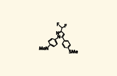 CNc1ccc(-n2nc(C(F)F)cc2-c2ccc(SC)cc2)cc1